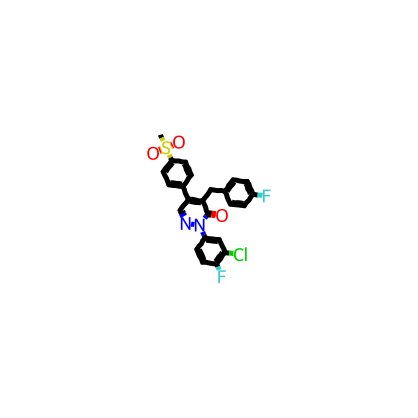 CS(=O)(=O)c1ccc(-c2cnn(-c3ccc(F)c(Cl)c3)c(=O)c2Cc2ccc(F)cc2)cc1